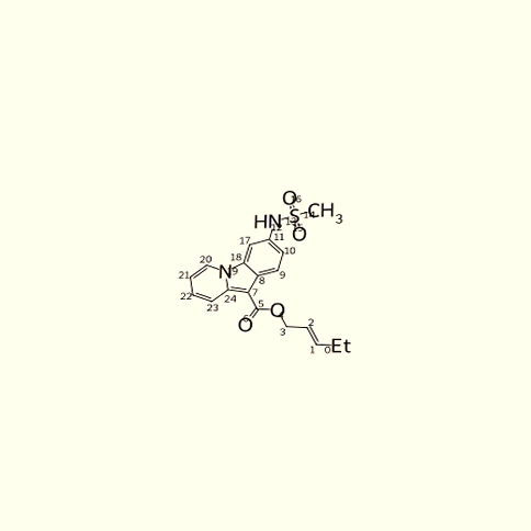 CCC=CCOC(=O)c1c2ccc(NS(C)(=O)=O)cc2n2ccccc12